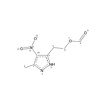 Cc1n[nH]c(CCOC=O)c1[N+](=O)[O-]